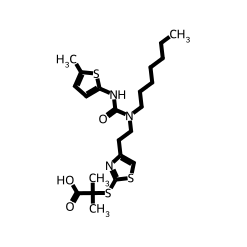 CCCCCCCN(CCc1csc(SC(C)(C)C(=O)O)n1)C(=O)Nc1ccc(C)s1